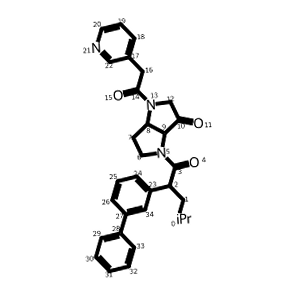 CC(C)CC(C(=O)N1CCC2C1C(=O)CN2C(=O)Cc1cccnc1)c1cccc(-c2ccccc2)c1